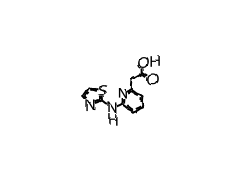 O=C(O)Cc1cccc(Nc2nccs2)n1